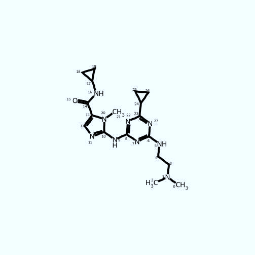 CN(C)CCNc1nc(Nc2ncc(C(=O)NC3CC3)n2C)nc(C2CC2)n1